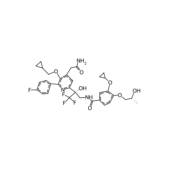 C[C@@H](O)COc1ccc(C(=O)NC[C@](O)(c2cc(CC(N)=O)c(OCC3CC3)c(-c3ccc(F)cc3)n2)C(F)(F)F)cc1OC1CC1